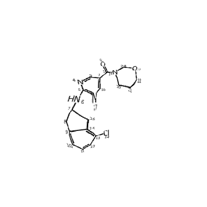 O=C(c1cnc(NC2Cc3cccc(Cl)c3C2)nc1)N1CCCOC1